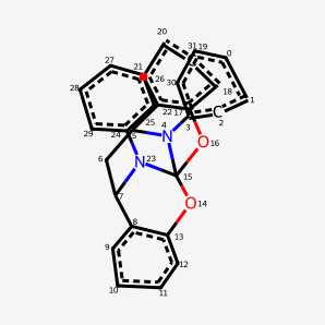 c1ccc(N2C3CC4c5ccccc5OC2(Oc2ccccc23)N4c2ccccc2)cc1